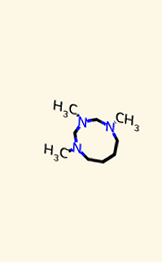 CN1CCCCN(C)CN(C)C1